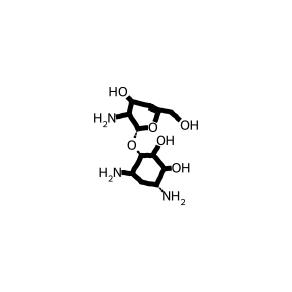 NC1C(O)C=C(CO)O[C@@H]1O[C@H]1C(N)C[C@@H](N)C(O)C1O